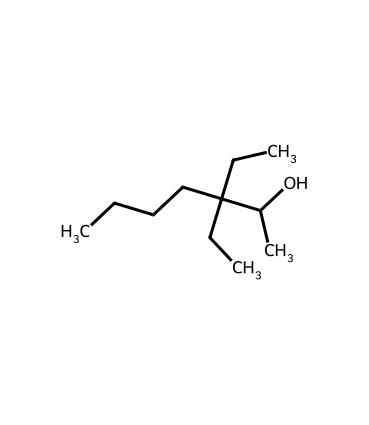 CCCCC(CC)(CC)C(C)O